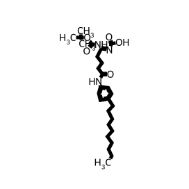 CCCCCCCCCCc1ccc(NC(=O)CCCC(=NC(=O)O)NC(=O)OC(C)(C)C)cc1